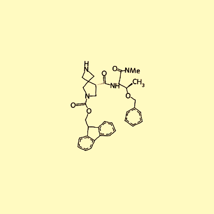 CNC(=O)[C@@H](NC(=O)[C@@H]1CN(C(=O)OCC2c3ccccc3-c3ccccc32)CC12CNC2)[C@@H](C)OCc1ccccc1